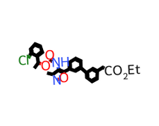 CCOC(=O)Cc1cccc(-c2cccc(-c3onc(C)c3NC(=O)OC(C)c3ccccc3Cl)c2)c1